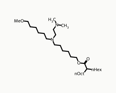 CCCCCCCCC(CCCCCC)C(=O)OCCCCCCN(CCCCCCOC)CCN(C)C